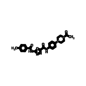 CC(=O)N1CCN(c2ccc(NC(=O)c3nnc(NC(=O)c4ccc(C)cc4)o3)cc2)CC1